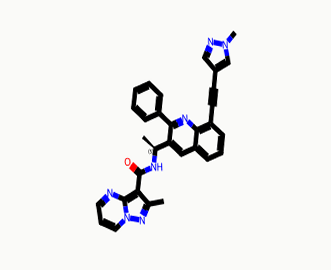 Cc1nn2cccnc2c1C(=O)N[C@@H](C)c1cc2cccc(C#Cc3cnn(C)c3)c2nc1-c1ccccc1